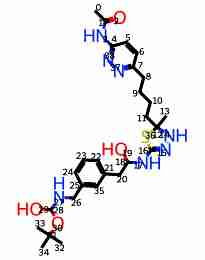 CC(=O)Nc1ccc(CCCCC2(C)NN=C(NC(O)Cc3cccc(CNC(O)OC(C)(C)C)c3)S2)nn1